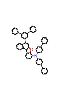 c1ccc(-c2ccc(N(c3ccc(-c4ccccc4)cc3)c3cccc4c3oc3cc(-c5cc(-c6ccccc6)cc(-c6ccccc6)c5)c5ccccc5c34)cc2)cc1